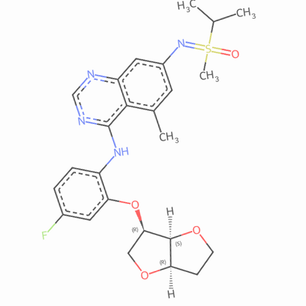 Cc1cc(N=S(C)(=O)C(C)C)cc2ncnc(Nc3ccc(F)cc3O[C@@H]3CO[C@@H]4CCO[C@@H]43)c12